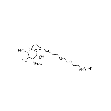 CC(=O)N[C@@H]1[C@@H](O)[C@@H](O)[C@@](C)(C[C@H](C)OCCOCCOCCOCCN=[N+]=[N-])O[C@@H]1O